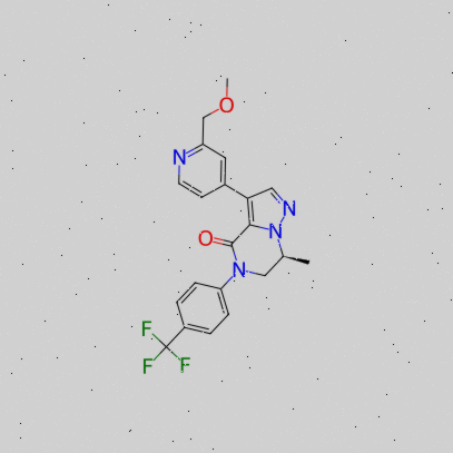 COCc1cc(-c2cnn3c2C(=O)N(c2ccc(C(F)(F)F)cc2)C[C@@H]3C)ccn1